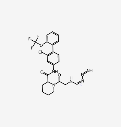 N=N/N=C\NCC(=O)N1CCCCC1C(=O)Nc1ccc(-c2ccccc2OC(F)(F)F)c(Cl)c1